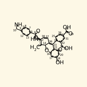 C=C(CNC(=O)c1ccc(CN)cc1)C1Oc2cc(O)ccc2C(c2ccc(C(=O)O)cc2C(=O)O)=C1/C=C\C=O